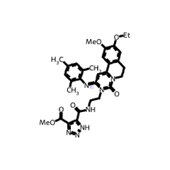 CCOc1cc2c(cc1OC)-c1c/c(=N\c3c(C)cc(C)cc3C)n(CCNC(=O)c3[nH]nnc3C(=O)OC)c(=O)n1CC2